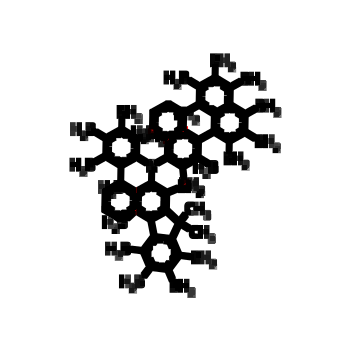 Bc1c(B)c(B)c(N(c2c(B)c(B)c(-c3c(B)c(B)c(B)c4c(B)c(B)c(B)c(-c5ccccc5)c34)c(B)c2B)c2c(B)c(B)c3c(c2B)C(C)(C)c2c(B)c(B)c(B)c(B)c2-3)c(-c2ccccc2)c1B